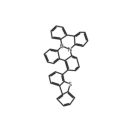 c1ccc2c(c1)B1c3ccccc3-c3c(-c4cccc5c4sc4ccccc45)cccc3N1c1ccccc1-2